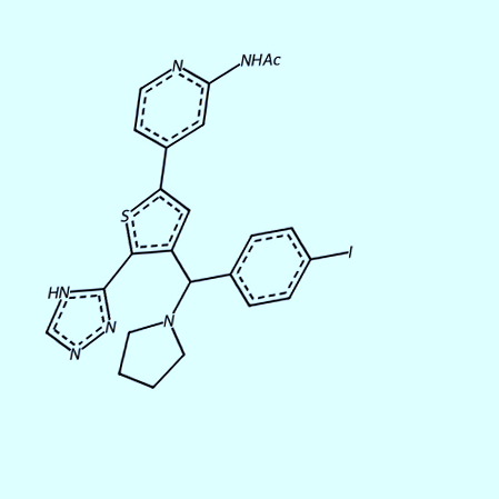 CC(=O)Nc1cc(-c2cc(C(c3ccc(I)cc3)N3CCCC3)c(-c3nnc[nH]3)s2)ccn1